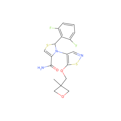 CC1(COc2sncc2N2C(C(N)=O)=CSC2c2c(F)cccc2F)COC1